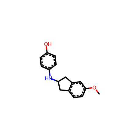 COc1ccc2c(c1)CC(Nc1ccc(O)cc1)C2